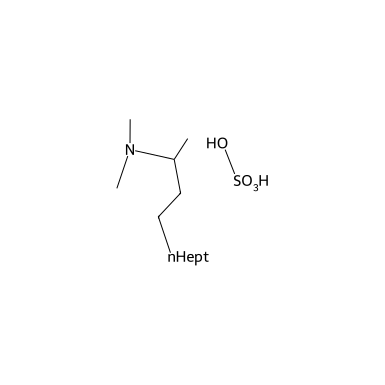 CCCCCCCCCC(C)N(C)C.O=S(=O)(O)O